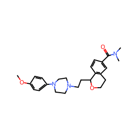 COc1ccc(N2CCN(CCC3OCCc4cc(C(=O)N(C)C)ccc43)CC2)cc1